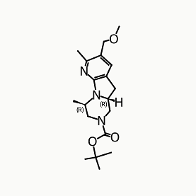 COCc1cc2c(nc1C)N1[C@H](C2)CN(C(=O)OC(C)(C)C)C[C@H]1C